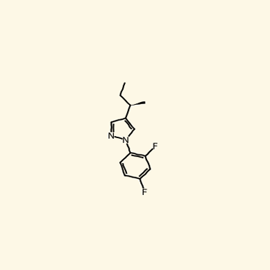 CC[C@@H](C)c1cnn(-c2ccc(F)cc2F)c1